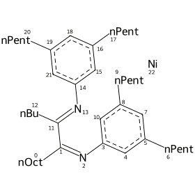 CCCCCCCCC(=Nc1cc(CCCCC)cc(CCCCC)c1)C(CCCC)=Nc1cc(CCCCC)cc(CCCCC)c1.[Ni]